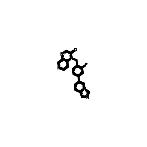 O=c1cnc2cnccc2n1Cc1ccc(-c2ccc3cncn3c2)cc1F